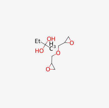 C(OCC1CO1)C1CO1.CCC(C)(O)O